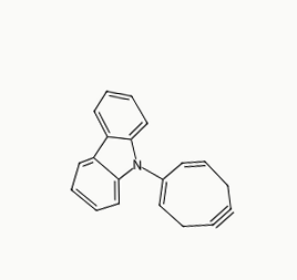 C1#CC/C=C(n2c3ccccc3c3ccccc32)\C=C/C1